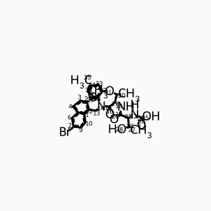 COc1ccc2cc(Br)ccc2c1CN1C(=O)[C@@H](NC(=O)[C@@H](NC(=O)O)[C@H](C)O)[C@H](C)Oc2cc(C)ccc21